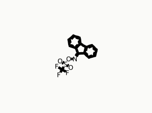 O=S(=O)(ON=C1c2ccccc2-c2ccccc21)C(F)(F)F